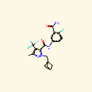 Cc1nn(CC23CC(C2)C3)c(C(=O)Nc2ccc(F)c(C(N)=O)c2)c1C(F)(F)F